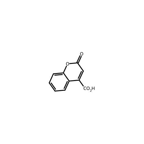 O=C(O)c1cc(=O)oc2ccccc12